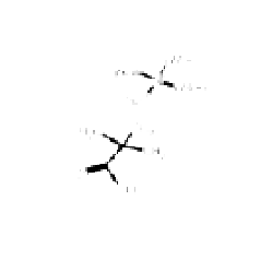 CC(C)(C)C(=O)O.CCCCCCCCC[N+](C)(CCCCCCCCC)CCCCCCCCC